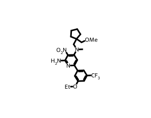 CCOc1cc(-c2cc(N(C)CC3(COC)CCCC3)c([N+](=O)[O-])c(N)n2)cc(C(F)(F)F)c1